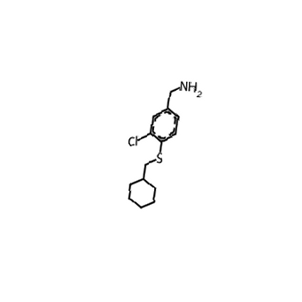 NCc1ccc(SCC2CCCCC2)c(Cl)c1